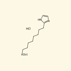 CCCCCCCCCCCCCCCCc1ncc[nH]1.Cl